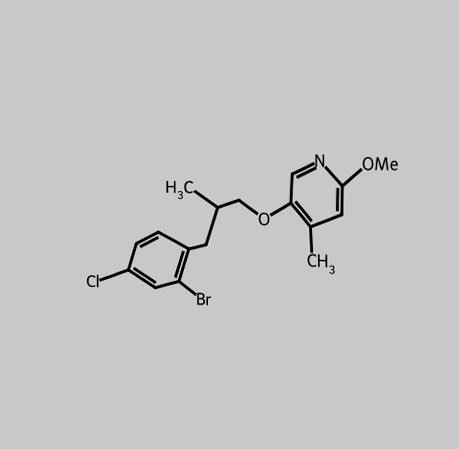 COc1cc(C)c(OCC(C)Cc2ccc(Cl)cc2Br)cn1